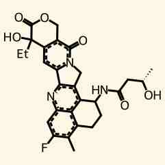 CCC1(O)C(=O)OCc2c1cc1n(c2=O)Cc2c-1nc1cc(F)c(C)c3c1c2C(NC(=O)C[C@H](C)O)CC3